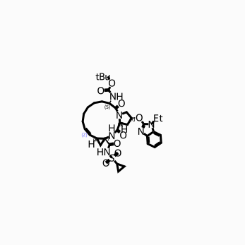 CCn1c(O[C@@H]2C[C@H]3C(=O)N[C@]4(C(=O)NS(=O)(=O)C5CC5)C[C@H]4/C=C\CCCCC[C@H](NC(=O)OC(C)(C)C)C(=O)N3C2)nc2ccccc21